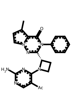 CC(=O)c1cnc(N)nc1N1CC[C@H]1c1nn2ccc(C)c2c(=O)n1-c1ccccc1